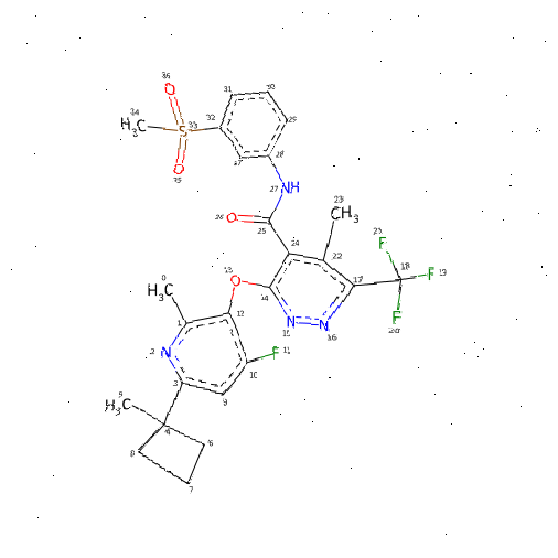 Cc1nc(C2(C)CCC2)cc(F)c1Oc1nnc(C(F)(F)F)c(C)c1C(=O)Nc1cccc(S(C)(=O)=O)c1